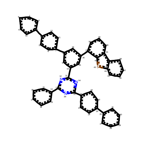 c1ccc(-c2ccc(-c3cc(-c4nc(-c5ccccc5)nc(-c5ccc(-c6ccccc6)cc5)n4)cc(-c4cccc5c4sc4ccccc45)c3)cc2)cc1